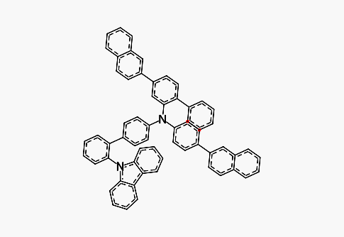 c1ccc(-c2ccc(-c3ccc4ccccc4c3)cc2N(c2ccc(-c3ccc4ccccc4c3)cc2)c2ccc(-c3ccccc3-n3c4ccccc4c4ccccc43)cc2)cc1